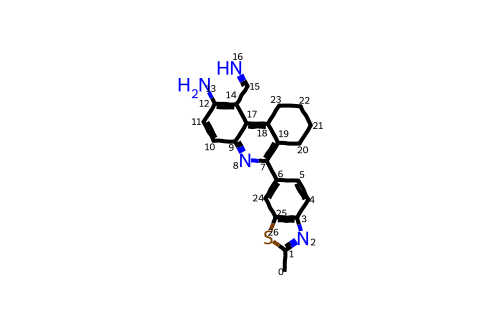 Cc1nc2ccc(-c3nc4ccc(N)c(C=N)c4c4c3CCCC4)cc2s1